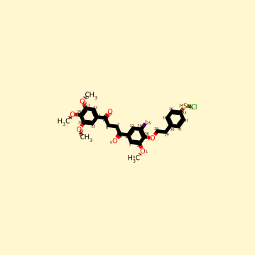 COc1cc(C(=O)CCC(=O)c2cc(OC)c(OC)c(OC)c2)cc(I)c1OCCc1ccc(SCl)cc1